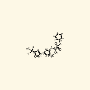 CON(Cc1ccc(-c2noc(C(F)(F)F)n2)s1)S(=O)(=O)Cc1ccccc1